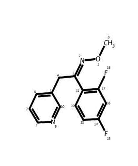 CO/N=C(/Cc1cccnc1)c1ccc(F)cc1F